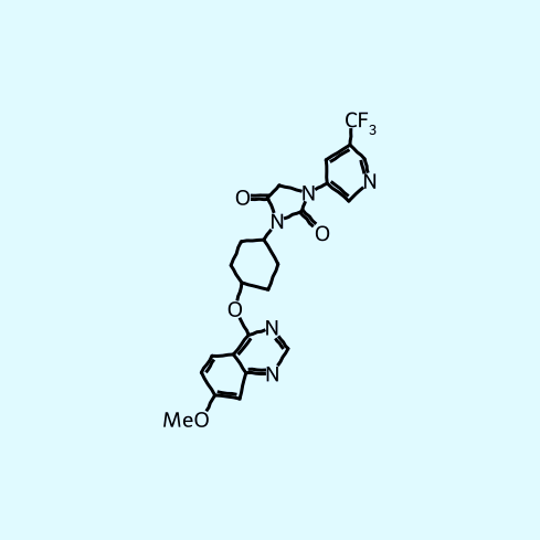 COc1ccc2c(OC3CCC(N4C(=O)CN(c5cncc(C(F)(F)F)c5)C4=O)CC3)ncnc2c1